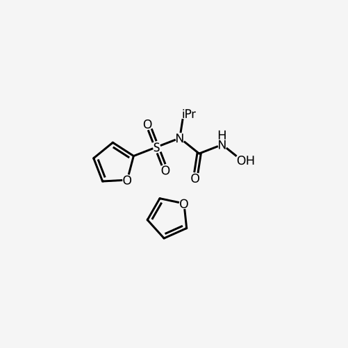 CC(C)N(C(=O)NO)S(=O)(=O)c1ccco1.c1ccoc1